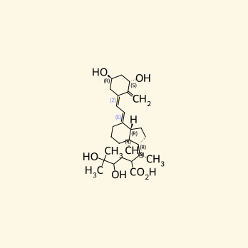 C=C1/C(=C\C=C2/CCC[C@]3(C)[C@@H]([C@H](C)C(CC(O)C(C)(C)O)C(=O)O)CC[C@@H]23)C[C@@H](O)C[C@@H]1O